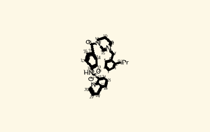 CC(C)c1ccccc1CN1CCCN(C(=O)c2ccc(NS(=O)(=O)c3cccc4cccnc34)cc2)C1